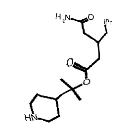 CC(C)CC(CC(N)=O)CC(=O)OC(C)(C)C1CCNCC1